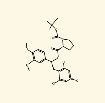 COc1ccc([C@H](Cc2c(Cl)c[n+]([O-])cc2Cl)OC(=O)[C@@H]2CCCN2C(=O)OC(C)(C)C)cc1OC